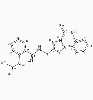 O=C(NCc1cc2c3ccccc3[nH]c(=S)n2n1)c1ccccc1OC(F)F